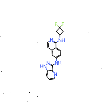 FC1(F)CC(Nc2nccc3cc(Nc4n[nH]c5cccnc45)ccc23)C1